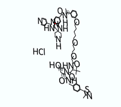 Cc1ncsc1-c1ccc(CNC(=O)[C@@H]2C[C@@H](O)CN2C(=O)C(NC(=O)COCCCOCCCCCOc2cccc([C@H](C)NC(=O)c3cccc(NC4(c5nnc(-c6ccncc6)[nH]5)CCNCC4)c3)c2)C(C)(C)C)cc1.Cl